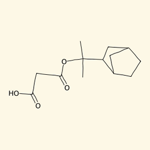 CC(C)(OC(=O)CC(=O)O)C1CC2CCC1C2